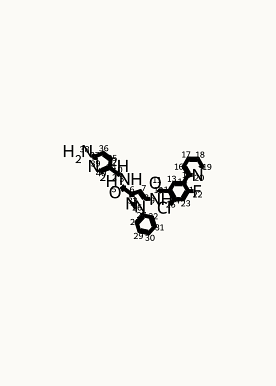 [2H]C([2H])(NC(=O)c1cc(NC(=O)c2cc(-c3ccccn3)c(F)cc2Cl)n(-c2ccccc2)n1)c1ccc(N)nc1